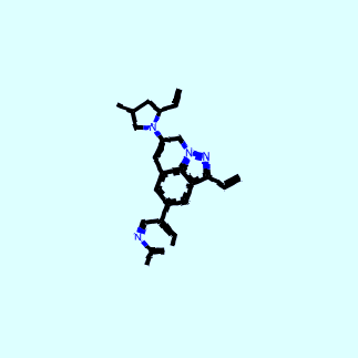 C=Cc1nn2c3c(cc(C(/C=N\C(=C)C)=C/C)cc13)C=C(N1CC(C)CC1C=C)C2